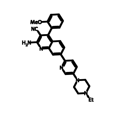 CCN1CCN(c2ccc(-c3ccc4c(-c5ccccc5OC)c(C#N)c(N)nc4c3)nc2)CC1